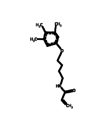 C=CC(=O)NCCCCOc1cc(C)c(C)c(C)c1